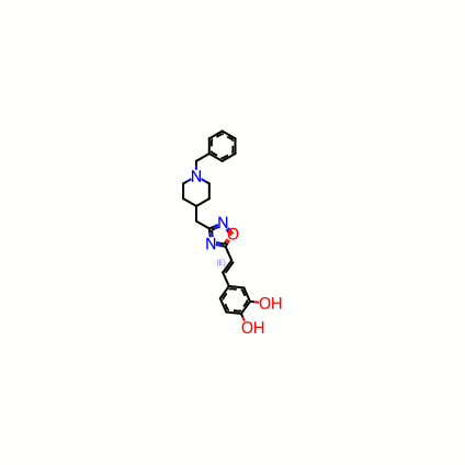 Oc1ccc(/C=C/c2nc(CC3CCN(Cc4ccccc4)CC3)no2)cc1O